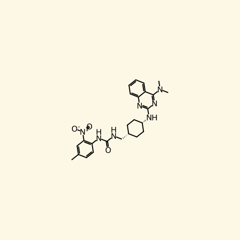 Cc1ccc(NC(=O)NC[C@H]2CC[C@@H](Nc3nc(N(C)C)c4ccccc4n3)CC2)c([N+](=O)[O-])c1